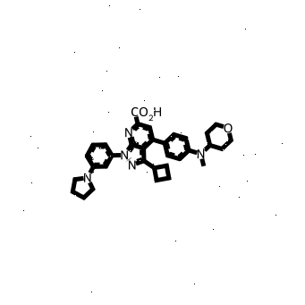 CN(c1ccc(-c2cc(C(=O)O)nc3c2c(C2CCC2)nn3-c2cccc(N3CCCC3)c2)cc1)C1CCOCC1